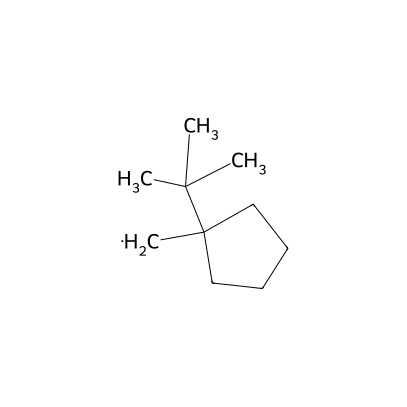 [CH2]C1(C(C)(C)C)CCCC1